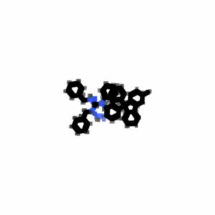 CC1C=CC2=C(C1)c1ccccc1C2(c1ccccc1)c1cccc2c1c1ccccc1n2C(NCc1ccccc1)N(N)Cc1ccccc1